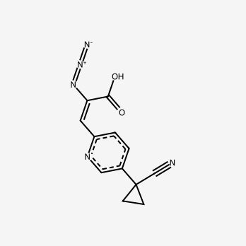 N#CC1(c2ccc(/C=C(/N=[N+]=[N-])C(=O)O)nc2)CC1